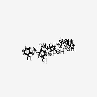 NN(Cc1ccccc1Cl)c1nc(Cl)nc2c1cnn2[C@@H]1O[C@H](COP(=O)(O)CP(=O)(O)O)[C@@H](O)[C@H]1O